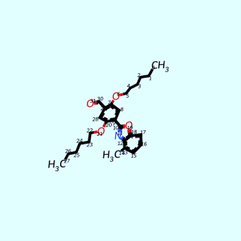 CCCCCCOc1cc(-c2nc3c(C)cccc3o2)c(OCCCCCC)cc1C=O